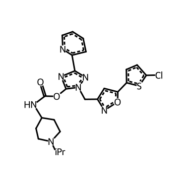 CC(C)N1CCC(NC(=O)Oc2nc(-c3ccccn3)nn2Cc2cc(-c3ccc(Cl)s3)on2)CC1